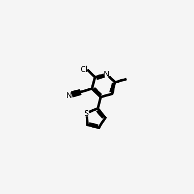 Cc1cc(-c2cccs2)c(C#N)c(Cl)n1